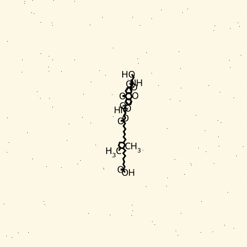 CC1CCC(CCCCCCCC(=O)OCCNS(=O)(=O)c2ccc3c(c2)C(=O)c2ccc(S(=O)(=O)NCCO)cc2C3=O)C(C)C1CCCCCCCC(=O)O